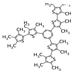 Cc1sc(-c2sc(-c3cc(-c4sc(-c5sc(C)c(C)c5C)c(C)c4C)cc(-c4sc(-c5sc(C)c(C)c5C)c(C)c4C)c3)c(C)c2C)c(C)c1C